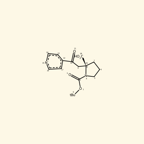 CC(C)(C)OC(=O)N1CCC[C@]1(CC(=O)c1ccncc1)C(=O)O